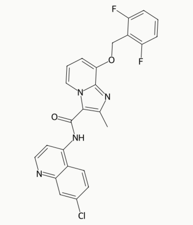 Cc1nc2c(OCc3c(F)cccc3F)cccn2c1C(=O)Nc1ccnc2cc(Cl)ccc12